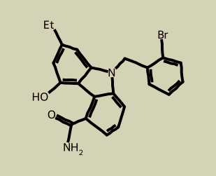 CCc1cc(O)c2c3c(C(N)=O)cccc3n(Cc3ccccc3Br)c2c1